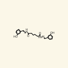 O=C(CCCCC(=O)N/N=C/c1cccc(O)c1)NN=Cc1cccc(O)c1